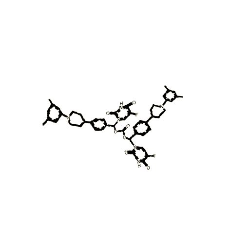 Cc1cc(C)cc(N2CCC(c3ccc(C(OC(=O)OC(c4ccc(C5CCN(c6cc(C)cc(C)c6)CC5)cc4)n4cc(F)c(=O)[nH]c4=O)n4cc(F)c(=O)[nH]c4=O)cc3)CC2)c1